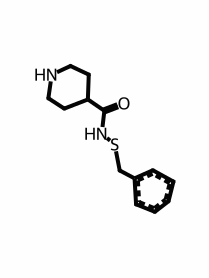 O=C(NSCc1ccccc1)C1CCNCC1